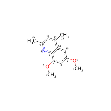 COc1cc(OC)c2nc(C)cc(C)c2c1